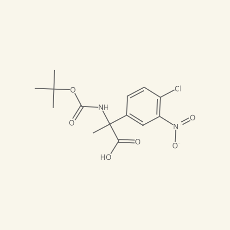 CC(C)(C)OC(=O)NC(C)(C(=O)O)c1ccc(Cl)c([N+](=O)[O-])c1